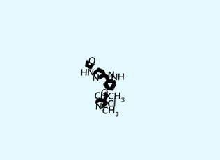 Cc1ncc(Cl)c([C@@H](C)Oc2ccc3[nH]nc(-c4ccc(N[C@@H]5CCOC5)nc4)c3c2)c1Cl